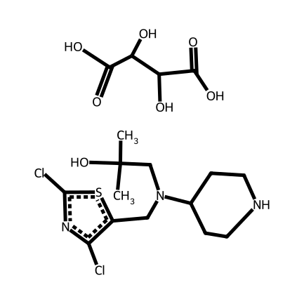 CC(C)(O)CN(Cc1sc(Cl)nc1Cl)C1CCNCC1.O=C(O)C(O)C(O)C(=O)O